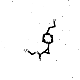 CCOC(=O)C1CC1c1ccc(CCO)cc1